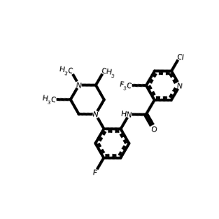 CC1CN(c2cc(F)ccc2NC(=O)c2cnc(Cl)cc2C(F)(F)F)CC(C)N1C